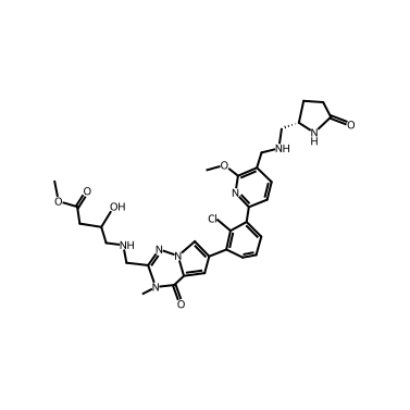 COC(=O)CC(O)CNCc1nn2cc(-c3cccc(-c4ccc(CNC[C@@H]5CCC(=O)N5)c(OC)n4)c3Cl)cc2c(=O)n1C